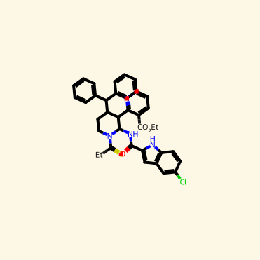 CCOC(=O)c1cccnc1C1C(C(c2ccccc2)c2ccccc2)CCN(C(=S)CC)C1NC(=O)c1cc2cc(Cl)ccc2[nH]1